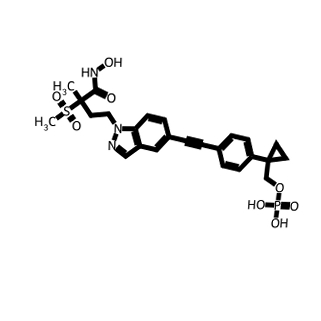 CC(CCn1ncc2cc(C#Cc3ccc(C4(COP(=O)(O)O)CC4)cc3)ccc21)(C(=O)NO)S(C)(=O)=O